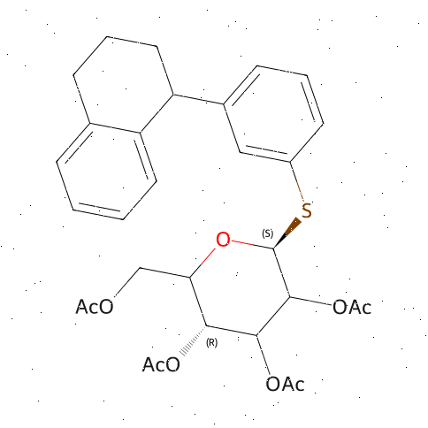 CC(=O)OCC1O[C@@H](Sc2cccc(C3CCCc4ccccc43)c2)C(OC(C)=O)C(OC(C)=O)[C@@H]1OC(C)=O